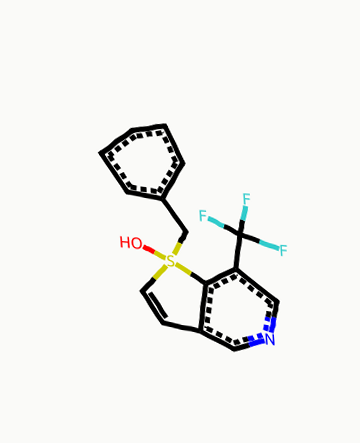 OS1(Cc2ccccc2)C=Cc2cncc(C(F)(F)F)c21